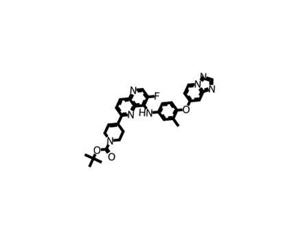 Cc1cc(Nc2c(F)cnc3ccc(C4=CCN(C(=O)OC(C)(C)C)CC4)nc23)ccc1Oc1ccn2ncnc2c1